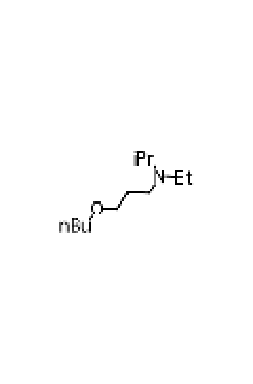 CCCCOCCCN(CC)C(C)C